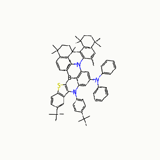 Cc1cc2c(c3c1N1c4cc(N(c5ccccc5)c5ccccc5)cc5c4B(c4ccc6c(c41)C3(C)CCC6(C)C)c1sc3ccc(C(C)(C)C)cc3c1N5c1ccc(C(C)(C)C)cc1)C(C)(C)CCC2(C)C